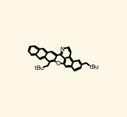 CC(C)(C)Cc1ccc2cc3c4c(nccc4c2c1)-c1cc2cc4ccccc4cc2c(CC(C)(C)C)c1O3